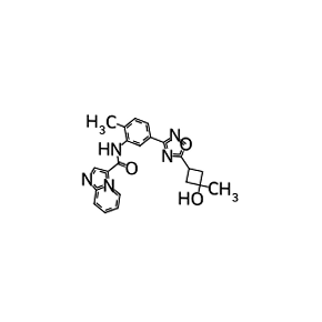 Cc1ccc(-c2noc(C3CC(C)(O)C3)n2)cc1NC(=O)c1cnc2ccccn12